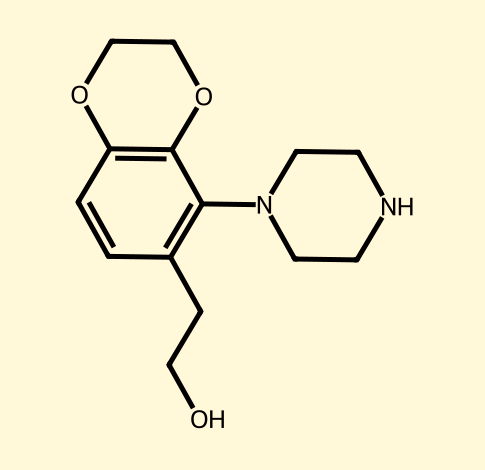 OCCc1ccc2c(c1N1CCNCC1)OCCO2